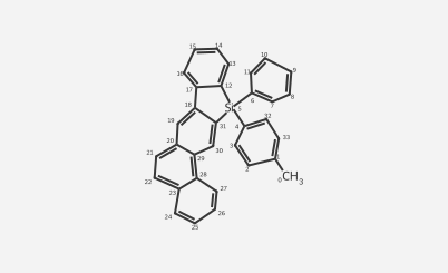 Cc1ccc([Si]2(c3ccccc3)c3ccccc3-c3cc4ccc5ccccc5c4cc32)cc1